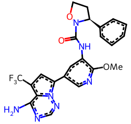 COc1ncc(-c2cc(C(F)(F)F)c3c(N)ncnn23)cc1NC(=O)N1OCC[C@H]1c1ccccc1